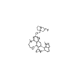 CN1CCOc2c(Cl)c(-c3c(F)ccc4cnn(C)c34)cc3nc(OC[C@@]45CCCN4C[C@H](F)C5)nc1c23